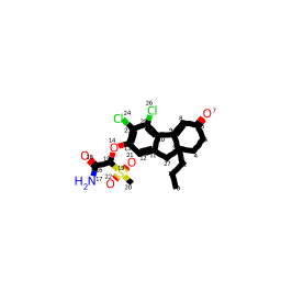 CCCC12CCC(=O)C=C1c1c(cc(OC(C(N)=O)S(C)(=O)=O)c(Cl)c1Cl)C2